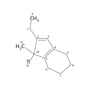 CCC1=CC2=C(CCCC2)[C]1(C)[Ti]